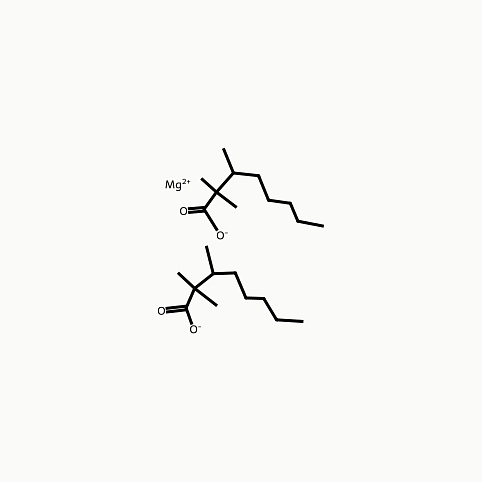 CCCCCC(C)C(C)(C)C(=O)[O-].CCCCCC(C)C(C)(C)C(=O)[O-].[Mg+2]